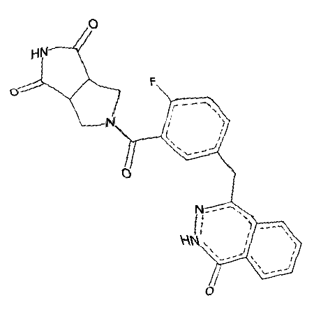 O=C1NC(=O)C2CN(C(=O)c3cc(Cc4n[nH]c(=O)c5ccccc45)ccc3F)CC12